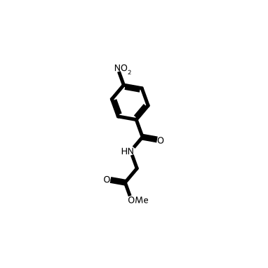 COC(=O)CNC(=O)c1ccc([N+](=O)[O-])cc1